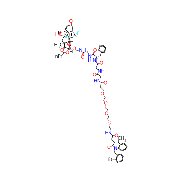 C=Cc1ccccc1N(Cc1ccccc1CC)C(=O)CCC(=O)NCCOCCOCCOCCOCCC(=O)NCC(=O)NCC(=O)N[C@@H](Cc1ccccc1)C(=O)NCC(=O)NCOCC(=O)[C@@]12OC(CCC)O[C@@H]1C[C@H]1[C@@H]3C[C@H](F)C4=CC(=O)C=C[C@]4(C)[C@@]3(F)[C@@H](O)C[C@@]12C